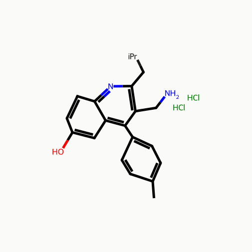 Cc1ccc(-c2c(CN)c(CC(C)C)nc3ccc(O)cc23)cc1.Cl.Cl